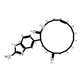 Cc1nc2cc(C3CCC(=O)CCCCCCC=CCCOC3=O)ccc2s1